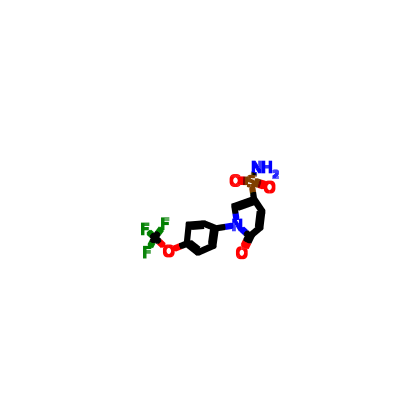 NS(=O)(=O)c1ccc(=O)n(-c2ccc(OC(F)(F)F)cc2)c1